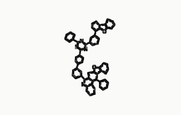 c1ccc(-c2nc(-c3ccc(-c4cccc(-c5nc6ccccc6c6c(-c7ccccc7)c7c(cc56)oc5ccccc57)c4)cc3)nc(-c3cccc(-c4cccc5c4oc4ccccc45)c3)n2)cc1